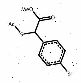 COC(=O)C(SC(C)=O)c1ccc(Br)cc1